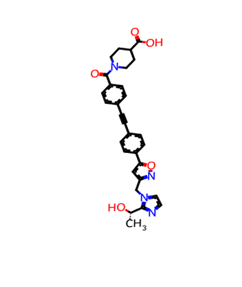 C[C@H](O)c1nccn1Cc1cc(-c2ccc(C#Cc3ccc(C(=O)N4CCC(C(=O)O)CC4)cc3)cc2)on1